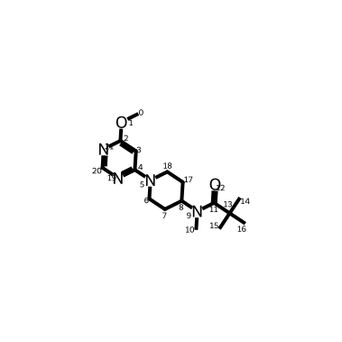 COc1cc(N2CCC(N(C)C(=O)C(C)(C)C)CC2)ncn1